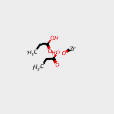 CCC(=O)O.CCC(=O)O.[O]=[Zr]